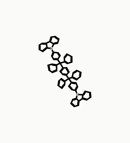 c1ccc(C(c2ccccc2)(c2ccc(-n3c4ccccc4c4ccccc43)cc2)c2ccc(C(c3ccccc3)(c3ccccc3)c3ccc(-n4c5ccccc5c5ccccc54)cc3)cc2)cc1